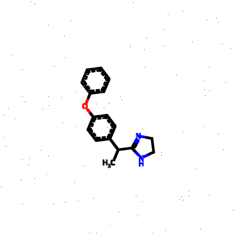 CC(C1=NCCN1)c1ccc(Oc2ccccc2)cc1